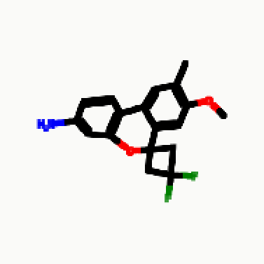 COc1cc2c(cc1C)-c1ccc(N)cc1OC21CC(F)(F)C1